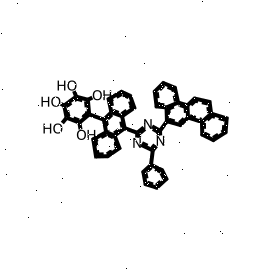 Oc1c(O)c(O)c(-c2c3ccccc3c(-c3nc(-c4ccccc4)nc(-c4cc5c6ccccc6ccc5c5ccccc45)n3)c3ccccc23)c(O)c1O